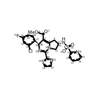 COC(=O)C1=C2C[C@H](NS(=O)(=O)c3ccccn3)CN2C(c2nccs2)=N[C@H]1c1ccc(F)cc1Cl